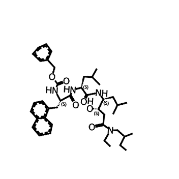 CCC(C)CN(CC)C(=O)C[C@H](O)[C@H](CC(C)C)NC(=O)[C@H](CC(C)C)NC(=O)[C@H](Cc1cccc2ccccc12)NC(=O)OCc1ccccc1